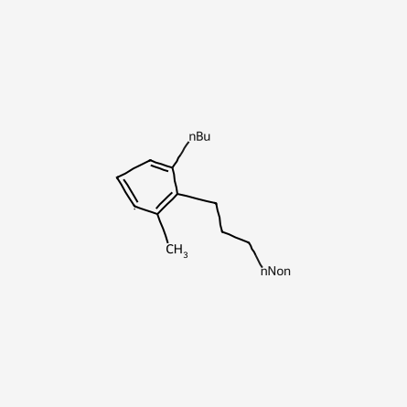 CCCCCCCCCCCCc1c(C)[c]ccc1CCCC